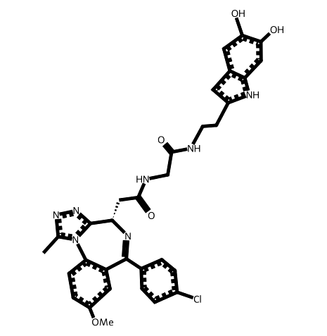 COc1ccc2c(c1)C(c1ccc(Cl)cc1)=N[C@@H](CC(=O)NCC(=O)NCCc1cc3cc(O)c(O)cc3[nH]1)c1nnc(C)n1-2